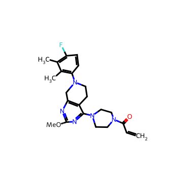 C=CC(=O)N1CCN(c2nc(OC)nc3c2CCN(c2ccc(F)c(C)c2C)C3)CC1